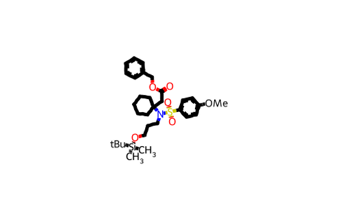 COc1ccc(S(=O)(=O)N(CCCO[Si](C)(C)C(C)(C)C)C2(CC(=O)OCc3ccccc3)CCCCC2)cc1